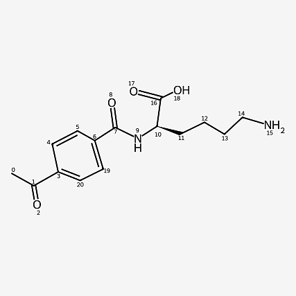 CC(=O)c1ccc(C(=O)N[C@H](CCCCN)C(=O)O)cc1